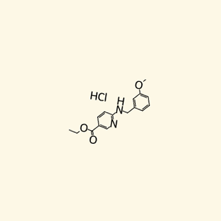 CCOC(=O)c1ccc(NCc2cccc(OC)c2)nc1.Cl